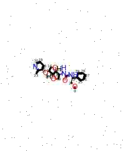 COC[C@@H](NC(=O)N[C@H]1CO[C@H]2[C@@H]1OC[C@@H]2Oc1cccnc1C)c1ccccc1